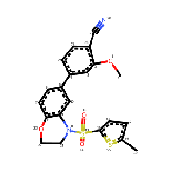 COc1cc(-c2ccc3c(c2)N(S(=O)(=O)c2ccc(C)s2)CCO3)ccc1C#N